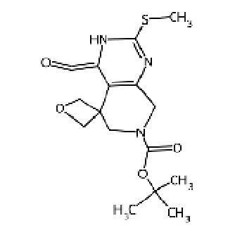 CSC1=NC2=C(C(=C=O)N1)C1(COC1)CN(C(=O)OC(C)(C)C)C2